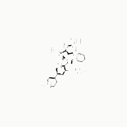 C=C[N+]1(c2nc(N)nc3c(Br)nn(Cc4ncc(C5=CCNCC5)cc4OC)c23)CCCCC1